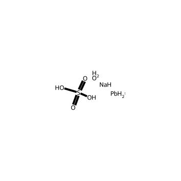 O.O=S(=O)(O)O.[NaH].[PbH2]